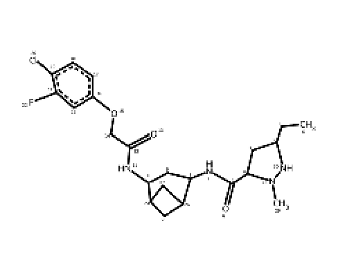 CCC1CC(C(=O)NC2CC(NC(=O)COc3ccc(Cl)c(F)c3)C3CC2C3)N(C)N1